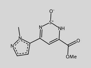 COC(=O)C1=CC(c2ccnn2C)=N[S+]([O-])N1